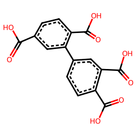 O=C(O)c1ccc(C(=O)O)c(-c2ccc(C(=O)O)c(C(=O)O)c2)c1